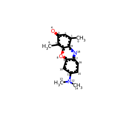 Cc1cc(=O)c(C)c2oc3cc(N(C)C)ccc3nc1-2